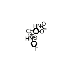 CC1Oc2cc(S(=O)(=O)Nc3ccc(F)cc3)c(Cl)cc2NC1=O